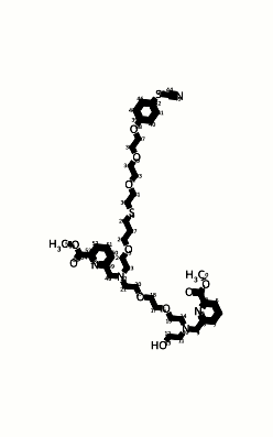 COC(=O)c1cccc(CN(CCO)CCOCCOCCN(CCOCCCSCCOCCOCCOc2ccc(SC#N)cc2)Cc2cccc(C(=O)OC)n2)n1